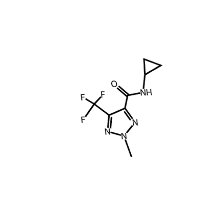 Cn1nc(C(=O)NC2CC2)c(C(F)(F)F)n1